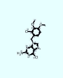 COc1ccc(Cn2cnc3c(Cl)nc(N)nc32)c(Cl)c1OC